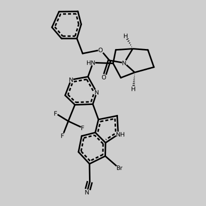 N#Cc1ccc2c(-c3nc(NC4C[C@H]5CC[C@@H](C4)N5C(=O)OCc4ccccc4)ncc3C(F)(F)F)c[nH]c2c1Br